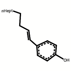 CCCCCCCCCC=Cc1ccc(O)cc1